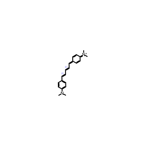 CN(C)c1ccc(/C=C/C=C/C=C2C=CC(=[N+](C)C)C=C2)cc1